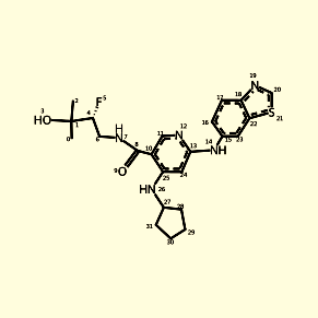 CC(C)(O)[C@H](F)CNC(=O)c1cnc(Nc2ccc3ncsc3c2)cc1NC1CCCC1